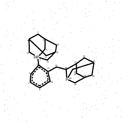 c1ccc([PH]23CC4CC(CC(C4)C2)C3)c(CC2C3CC4CC(C3)CP2C4)c1